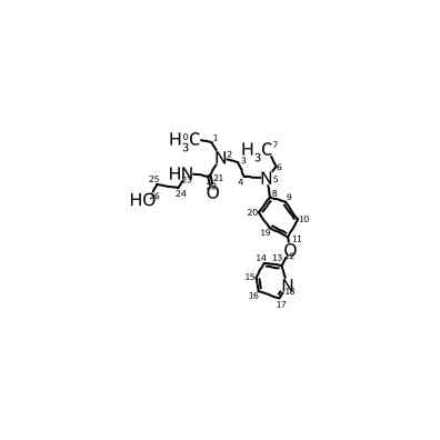 CCN(CCN(CC)c1ccc(Oc2ccccn2)cc1)C(=O)NCCO